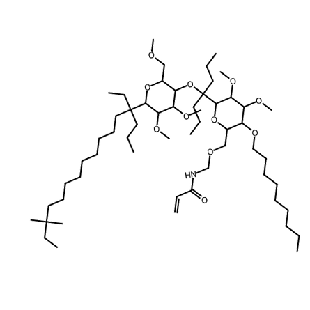 C=CC(=O)NCOCC1OC(C(CCC)(CCC)OC2C(COC)OC(C(CC)(CCC)CCCCCCCCCC(C)(C)CC)C(OC)C2OC)C(OC)C(OC)C1OCCCCCCCCC